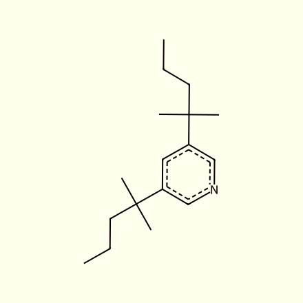 CCCC(C)(C)c1cncc(C(C)(C)CCC)c1